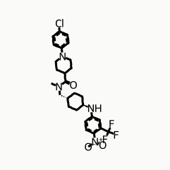 CN(C[C@H]1CC[C@H](Nc2ccc([N+](=O)[O-])c(C(F)(F)F)c2)CC1)C(=O)C1CCN(c2ccc(Cl)cc2)CC1